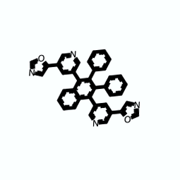 c1ccc(-c2c(-c3ccccc3)c(-c3cncc(-c4cnco4)c3)c3ccccc3c2-c2cncc(-c3cnco3)c2)cc1